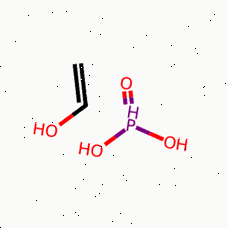 C=CO.O=[PH](O)O